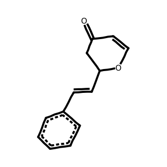 O=C1C=COC(C=Cc2ccccc2)C1